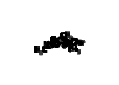 Cc1cn(-c2ccc3n(c2=O)C[C@@H](C)N(Cc2cn(C)c4cc(Br)ccc24)C3=O)cn1